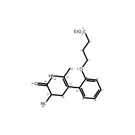 CCOC(=O)CCCOc1ccccc1C1=C(C)NC(=O)C(C#N)C1